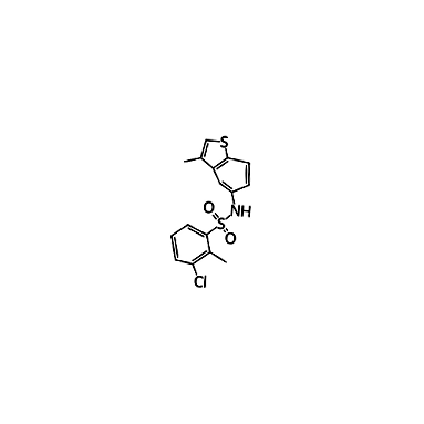 Cc1c(Cl)cccc1S(=O)(=O)Nc1ccc2scc(C)c2c1